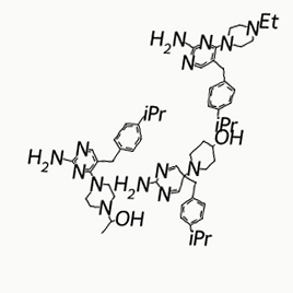 CC(C)c1ccc(CC2(N3CCC(O)CC3)C=NC(N)N=C2)cc1.CC(C)c1ccc(Cc2cnc(N)nc2N2CCN(C(C)O)CC2)cc1.CCN1CCN(c2nc(N)ncc2Cc2ccc(C(C)C)cc2)CC1